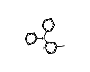 Cc1ccnc(N(c2ccccc2)c2ccccc2)c1